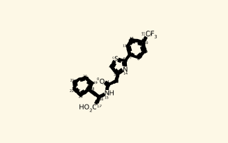 O=C(Cc1csc(-c2ccc(C(F)(F)F)cc2)n1)NC(C(=O)O)c1ccccc1